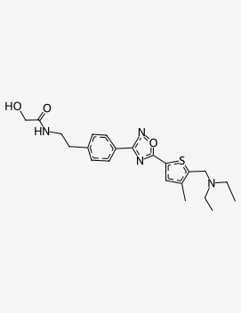 CCN(CC)Cc1sc(-c2nc(-c3ccc(CCNC(=O)CO)cc3)no2)cc1C